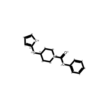 O=C(Oc1ccccc1)N1CCC(Sc2cccs2)CC1